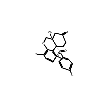 O=C1CC[C@@]2(S(=O)(=O)c3ccc(Cl)cc3)c3c(F)ccc(F)c3OC[C@]2(O)C1